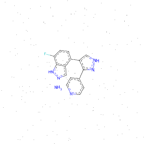 Fc1ccc(-c2c[nH]nc2-c2ccncc2)c2cn[nH]c12.N